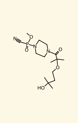 COP(=O)(C#N)N1CCN(C(=O)C(C)(C)OCCC(C)(C)O)CC1